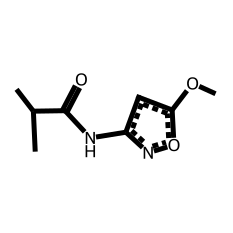 COc1cc(NC(=O)C(C)C)no1